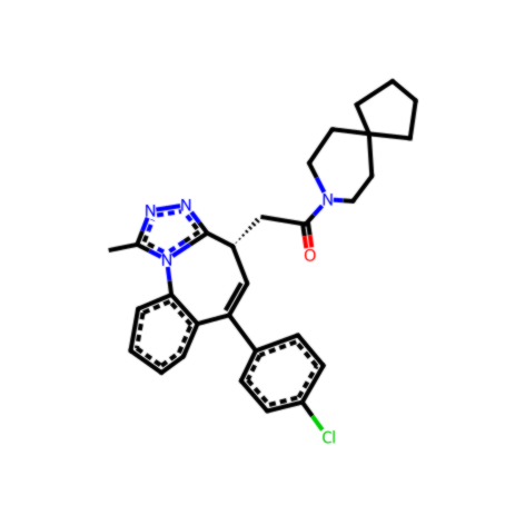 Cc1nnc2n1-c1ccccc1C(c1ccc(Cl)cc1)=C[C@H]2CC(=O)N1CCC2(CCCC2)CC1